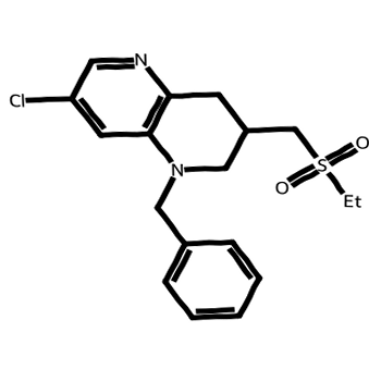 CCS(=O)(=O)CC1Cc2ncc(Cl)cc2N(Cc2ccccc2)C1